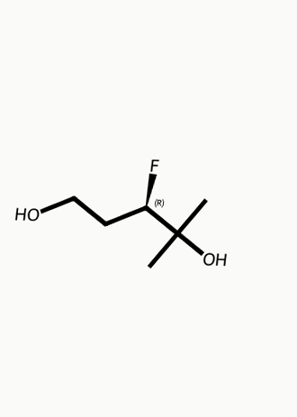 CC(C)(O)[C@H](F)CCO